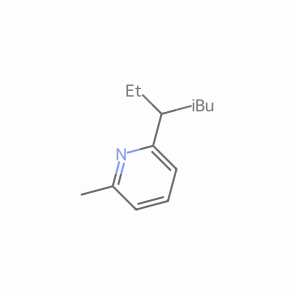 CCC(C)C(CC)c1cccc(C)n1